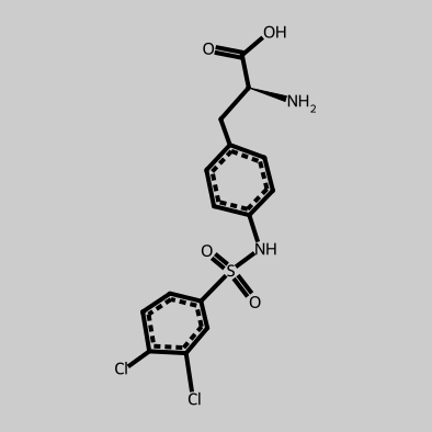 N[C@@H](Cc1ccc(NS(=O)(=O)c2ccc(Cl)c(Cl)c2)cc1)C(=O)O